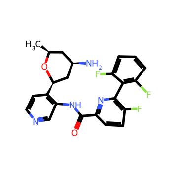 C[C@H]1C[C@@H](N)C[C@@H](c2ccncc2NC(=O)c2ccc(F)c(-c3c(F)cccc3F)n2)O1